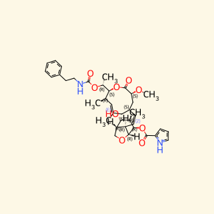 CO[C@H]1C[C@@H](/C=C\[C@@H]2[C@@H]3CO[C@H]2[C@H](OC(=O)c2ccc[nH]2)[C@H](C)[C@H]3O)C/C(C)=C/[C@@H](C)[C@@H]([C@@H](C)OC(=O)NCCc2ccccc2)OC1=O